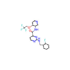 O=C(Nc1cnccc1OCC(F)(F)F)c1ccnc(NCc2ccccc2F)n1